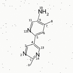 Cc1ncc(-c2cc(C)c(N)cn2)cn1